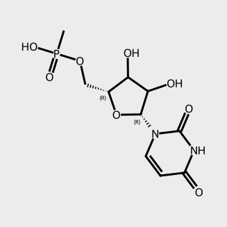 CP(=O)(O)OC[C@H]1O[C@@H](n2ccc(=O)[nH]c2=O)C(O)C1O